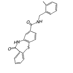 Cc1ccccc1CNC(=O)c1ccc2c(c1)NC(=O)c1ccccc1S2